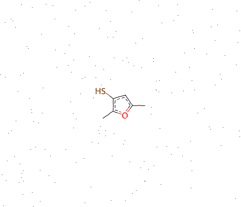 Cc1cc(S)c(C)o1